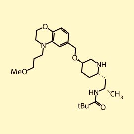 COCCCN1CCOc2ccc(CO[C@@H]3CC[C@@H](C[C@H](C)NC(=O)C(C)(C)C)NC3)cc21